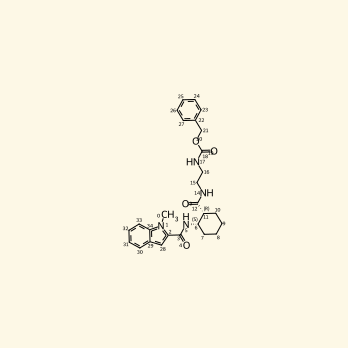 Cn1c(C(=O)N[C@H]2CCCC[C@H]2C(=O)NCCNC(=O)OCc2ccccc2)cc2ccccc21